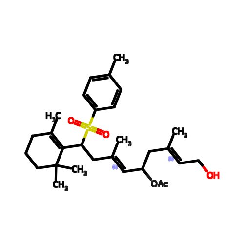 CC(=O)OC(/C=C(\C)CC(C1=C(C)CCCC1(C)C)S(=O)(=O)c1ccc(C)cc1)C/C(C)=C/CO